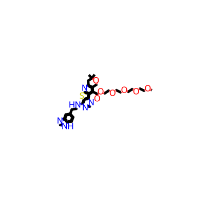 COCCOCCOCCOCCOC(=O)c1c2c(nc3sc4c(NCCc5ccc6[nH]cnc6c5)ncnc4c13)CC(C)(C)OC2